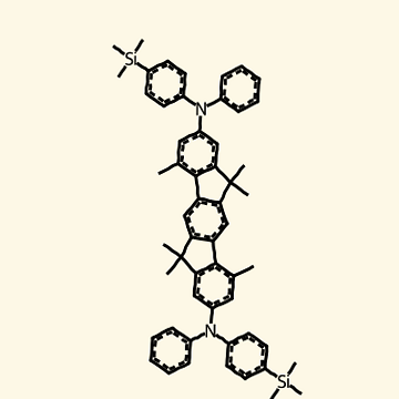 Cc1cc(N(c2ccccc2)c2ccc([Si](C)(C)C)cc2)cc2c1-c1cc3c(cc1C2(C)C)-c1c(C)cc(N(c2ccccc2)c2ccc([Si](C)(C)C)cc2)cc1C3(C)C